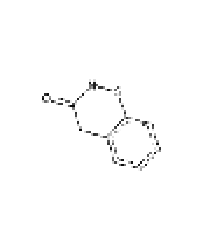 O=C1Cc2ccccc2S[N]1